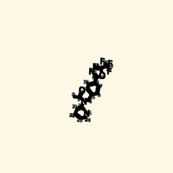 CC(=O)N(Cc1ccc(-c2nnc(C(F)(F)F)o2)cc1)c1ccccn1